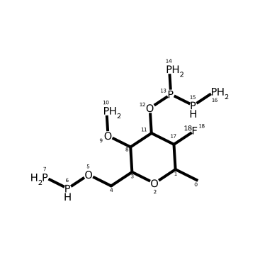 CC1OC(COPP)C(OP)C(OP(P)PP)C1[18F]